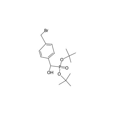 CC(C)(C)OP(=O)(OC(C)(C)C)C(O)c1ccc(CBr)cc1